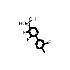 Cc1ccc(-c2ccc(B(O)O)c(F)c2F)cc1F